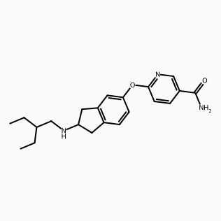 CCC(CC)CNC1Cc2ccc(Oc3ccc(C(N)=O)cn3)cc2C1